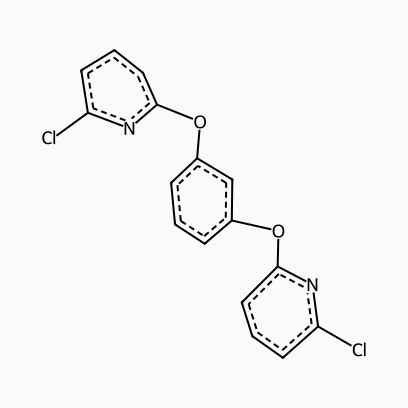 Clc1cccc(Oc2cccc(Oc3cccc(Cl)n3)c2)n1